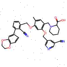 Cc1cc(CN2CCCCC2C(=O)O)c(OCc2cncc(C#N)c2)cc1OCc1cccc(-c2ccc3c(c2)OCCO3)c1C#N